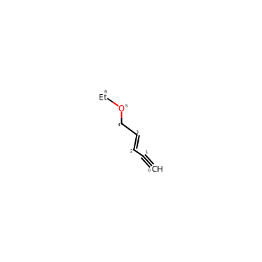 C#C/C=C/COC[CH2]